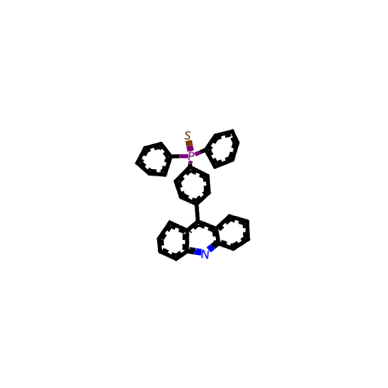 S=P(c1ccccc1)(c1ccccc1)c1ccc(-c2c3ccccc3nc3ccccc23)cc1